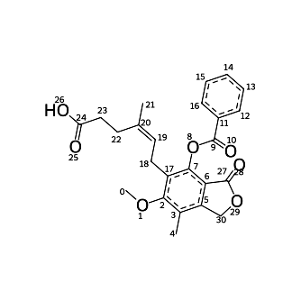 COc1c(C)c2c(c(OC(=O)c3ccccc3)c1CC=C(C)CCC(=O)O)C(=O)OC2